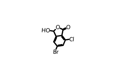 O=C1OC(O)c2cc(Br)cc(Cl)c21